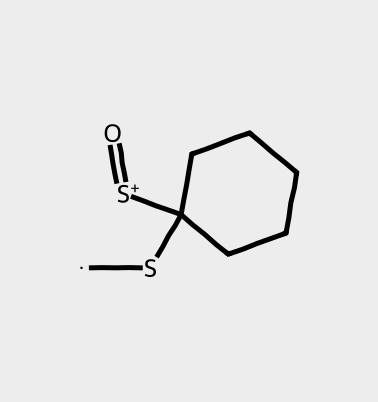 [CH2]SC1([S+]=O)CCCCC1